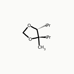 CC(C)[C@H]1OCO[C@]1(C)C(C)C